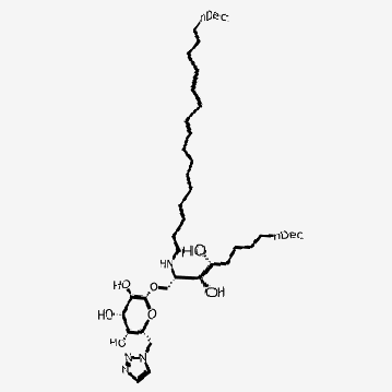 CCCCCCCCCCCCCCCCCCCCCCCCCCN[C@@H](CO[C@@H]1O[C@H](Cn2ccnn2)[C@H](O)[C@H](O)[C@H]1O)[C@H](O)[C@H](O)CCCCCCCCCCCCCC